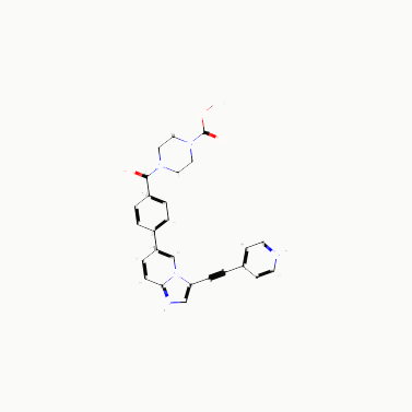 CC(C)(C)OC(=O)N1CCN(C(=O)c2ccc(-c3ccc4ncc(C#Cc5ccncc5)n4c3)cc2)CC1